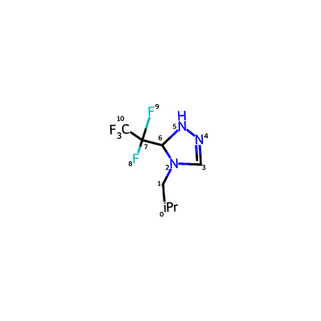 CC(C)CN1C=NNC1C(F)(F)C(F)(F)F